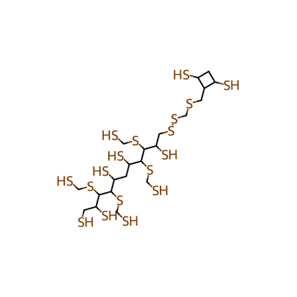 SCSC(C(S)CS)C(SCS)C(S)CC(S)C(SCS)C(SCS)C(S)CSSCSCC1C(S)CC1S